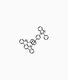 c1ccc(-c2nc3ccccc3c3ccc4c5ccccc5n(-c5ccc(-c6ccc(-n7c(-c8ccccc8)nc8ccccc87)cc6)cc5)c4c23)cc1